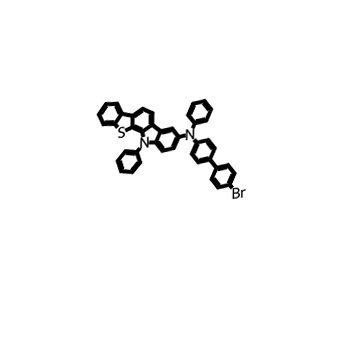 Brc1ccc(-c2ccc(N(c3ccccc3)c3ccc4c(c3)c3ccc5c6ccccc6sc5c3n4-c3ccccc3)cc2)cc1